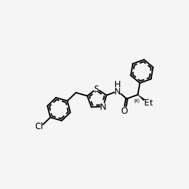 CC[C@@H](C(=O)Nc1ncc(Cc2ccc(Cl)cc2)s1)c1ccccc1